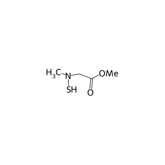 COC(=O)CN(C)S